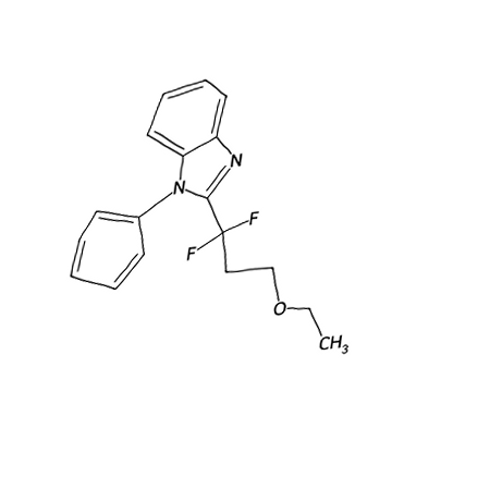 CCOCCC(F)(F)c1nc2ccccc2n1-c1ccccc1